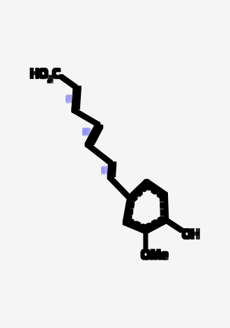 COc1cc(/C=C/C=C/C=C/C(=O)O)ccc1O